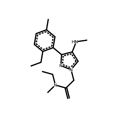 C=C(Cn1cc(NC)c(-c2cc(C)ccc2CC)n1)N(C)CC